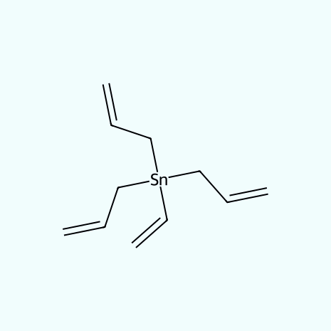 C=C[CH2][Sn]([CH]=C)([CH2]C=C)[CH2]C=C